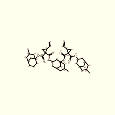 C=CC1CC1(C(=O)OC1CC2CC(C)CC(OC(=O)C3(C(=O)OC4CC5CC(C)CC(C5)C4)CC3C=C)(C2)C1)C(=O)OC12CCCC(CC(C)C1)C2